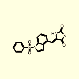 O=C1NC(=Cc2cccc3c2ccn3S(=O)(=O)c2ccccc2)C(=O)S1